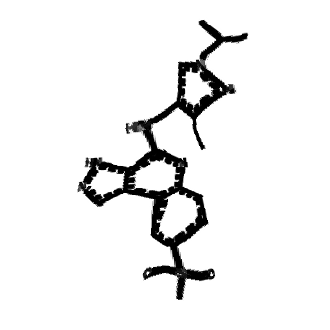 Cc1nn(C(C)C)cc1Nc1nc2ccc(S(C)(=O)=O)cc2c2cn[nH]c12